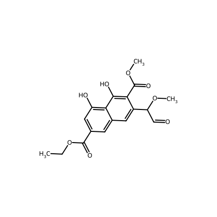 CCOC(=O)c1cc(O)c2c(O)c(C(=O)OC)c(C(C=O)OC)cc2c1